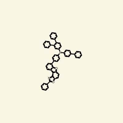 c1ccc(-c2ccc(N(c3ccc(-c4cccc5c4oc4ccc6oc(-c7ccccc7)nc6c45)cc3)c3ccc(-c4ccccc4)c(-c4ccccc4)c3)cc2)cc1